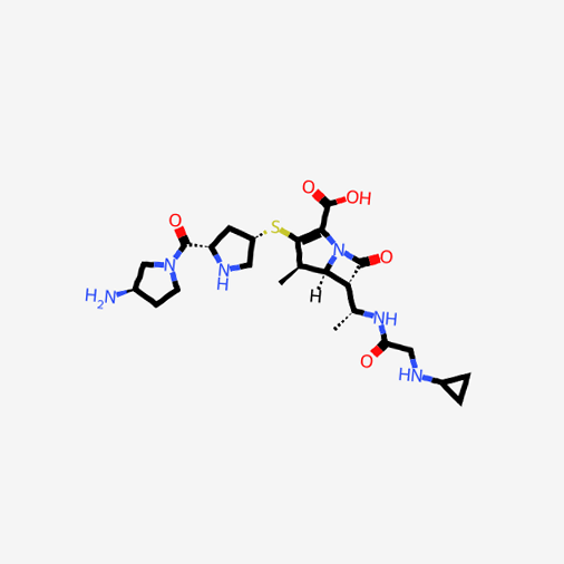 C[C@@H](NC(=O)CNC1CC1)[C@H]1C(=O)N2C(C(=O)O)=C(S[C@@H]3CN[C@H](C(=O)N4CC[C@@H](N)C4)C3)[C@H](C)[C@H]12